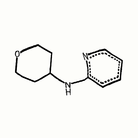 c1ccc(NC2CCOCC2)nc1